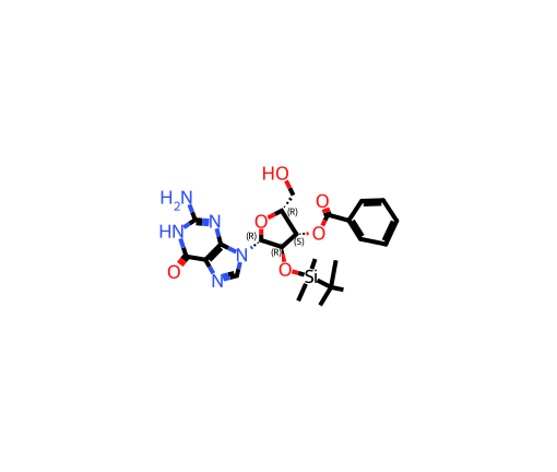 CC(C)(C)[Si](C)(C)O[C@@H]1[C@@H](OC(=O)c2ccccc2)[C@@H](CO)O[C@H]1n1cnc2c(=O)[nH]c(N)nc21